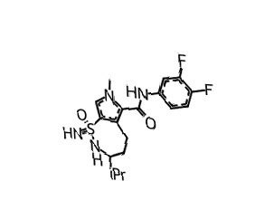 CC(C)C1CCc2c(cn(C)c2C(=O)Nc2ccc(F)c(F)c2)S(=N)(=O)N1